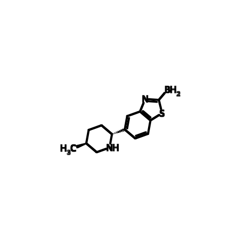 Bc1nc2cc([C@H]3CC[C@H](C)CN3)ccc2s1